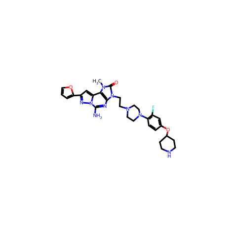 Cn1c(=O)n(CCN2CCN(c3ccc(OC4CCNCC4)cc3F)CC2)c2nc(N)n3nc(-c4ccco4)cc3c21